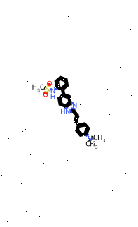 CN(C)c1ccc(/C=C/c2nc3cc(-c4ccccc4NS(C)(=O)=O)ccc3[nH]2)cc1